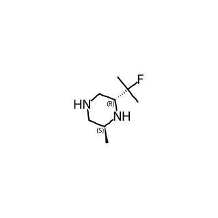 C[C@H]1CNC[C@H](C(C)(C)F)N1